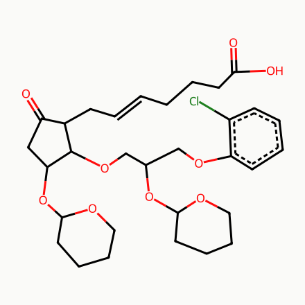 O=C(O)CCCC=CCC1C(=O)CC(OC2CCCCO2)C1OCC(COc1ccccc1Cl)OC1CCCCO1